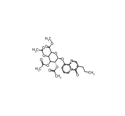 CCCc1cnc2c(O[C@@H]3OC(C(=O)OC)C(OC(C)=O)C(OC(C)=O)[C@H]3OC(C)=O)cccn2c1=O